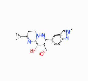 Cn1cc2cc(C3=NN4C=CC(C5CC5)=NC4=C(Br)C3C=O)ccc2n1